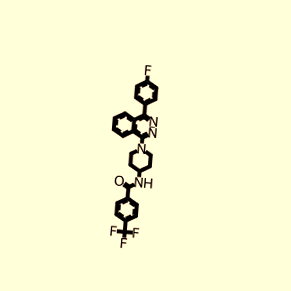 O=C(NC1CCN(c2nnc(-c3ccc(F)cc3)c3ccccc23)CC1)c1ccc(C(F)(F)F)cc1